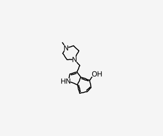 CN1CCN(Cc2c[nH]c3cccc(O)c23)CC1